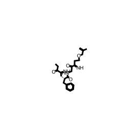 C=C(C)COCCC(=N)C(=O)CNC(=O)[C@@H](CC(=N)C(=O)CC)Cc1ccccc1